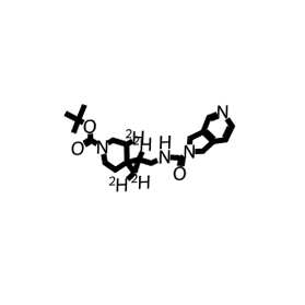 [2H]C1CN(C(=O)OC(C)(C)C)CCC12C([2H])([2H])C2([2H])CNC(=O)N1Cc2ccncc2C1